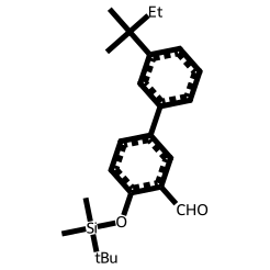 CCC(C)(C)c1cccc(-c2ccc(O[Si](C)(C)C(C)(C)C)c(C=O)c2)c1